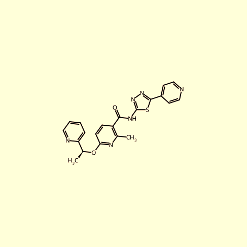 Cc1nc(O[C@@H](C)c2ccccn2)ccc1C(=O)Nc1nnc(-c2ccncc2)s1